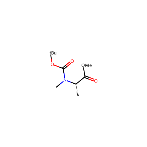 COC(=O)[C@H](C)N(C)C(=O)OC(C)(C)C